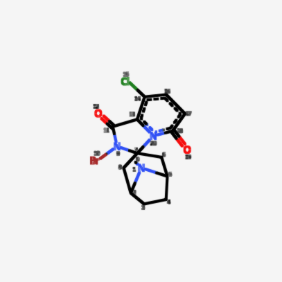 CN1C2CCC1CC1(C2)N(Br)C(=O)c2c(Cl)ccc(=O)n21